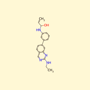 C=CC(O)Nc1cccc(-c2ccc3cnc(NCC)nc3c2)c1